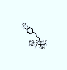 CC(C)[C@@](O)(C(=O)O)[C@](CCCc1ccc(OC(F)(F)F)cc1)(C(=O)O)C(C)C